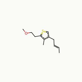 C/C=C/Cc1csc(CCOC)c1C